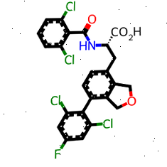 O=C(N[C@@H](Cc1ccc(-c2c(Cl)cc(F)cc2Cl)c2c1COC2)C(=O)O)c1c(Cl)cccc1Cl